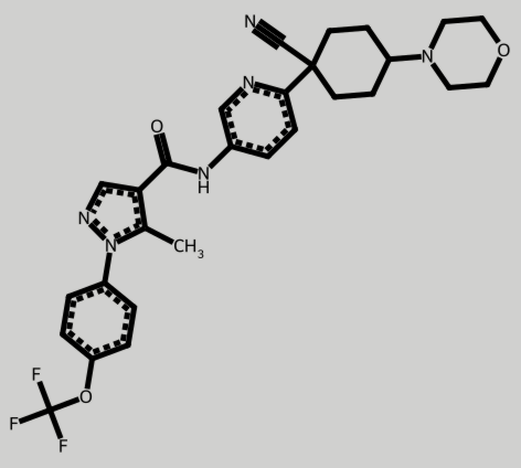 Cc1c(C(=O)Nc2ccc(C3(C#N)CCC(N4CCOCC4)CC3)nc2)cnn1-c1ccc(OC(F)(F)F)cc1